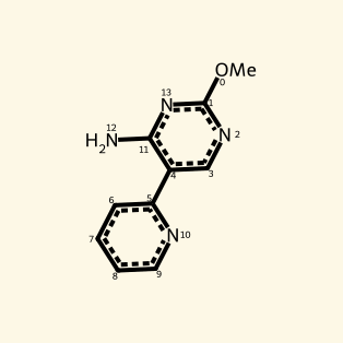 COc1ncc(-c2ccccn2)c(N)n1